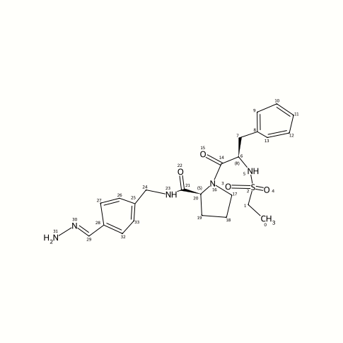 CCS(=O)(=O)N[C@H](Cc1ccccc1)C(=O)N1CCC[C@H]1C(=O)NCc1ccc(C=NN)cc1